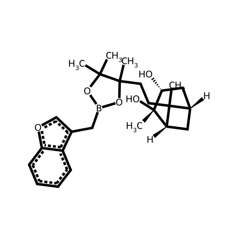 CC1(CCC2(C)OB(Cc3coc4ccccc34)OC2(C)C)[C@@H]2C[C@@H](O)[C@@](C)(O)[C@H]1C2